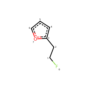 FCCc1cc[c]o1